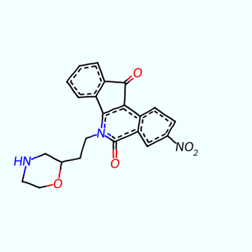 O=C1c2ccccc2-c2c1c1ccc([N+](=O)[O-])cc1c(=O)n2CCC1CNCCO1